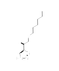 CCCCCCSCC(=O)c1c[nH]nn1